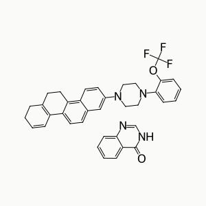 FC(F)(F)Oc1ccccc1N1CCN(c2ccc3c4c(ccc3c2)C2=C(CCC=C2)CC4)CC1.O=c1[nH]cnc2ccccc12